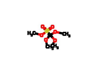 CO[Si](OC)(OC)S(=O)(=O)OC